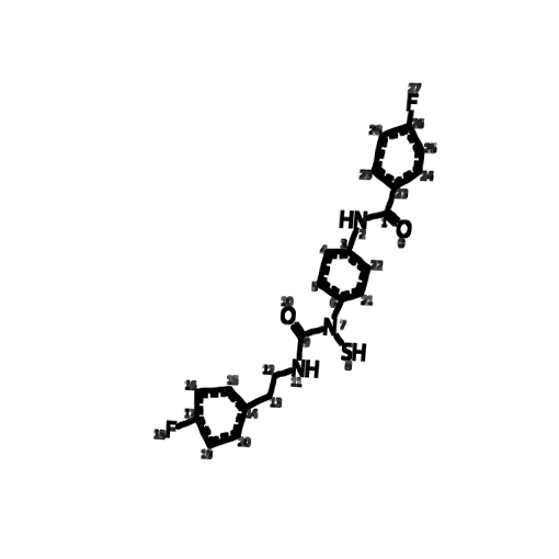 O=C(Nc1ccc(N(S)C(=O)NCCc2ccc(F)cc2)cc1)c1ccc(F)cc1